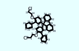 ClCCOc1ccc(C2(c3ccc(OCCCl)c(-c4ccccc4)c3)c3ccccc3-c3ccccc32)cc1-c1ccccc1